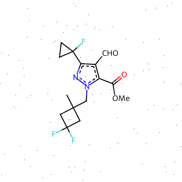 COC(=O)c1c(C=O)c(C2(F)CC2)nn1CC1(C)CC(F)(F)C1